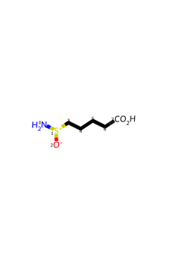 N[S+]([O-])CCCCC(=O)O